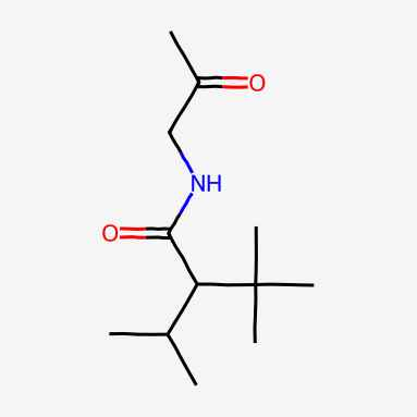 CC(=O)CNC(=O)C(C(C)C)C(C)(C)C